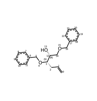 C=CC[C@H](OCc1ccccc1)[C@H](O)COCc1ccccc1